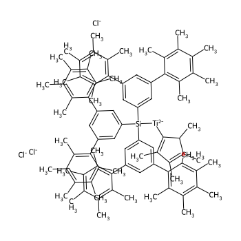 CC1=C(C)C(C)[C]([Ti-2][Si](c2cc(-c3c(C)c(C)c(C)c(C)c3C)cc(-c3c(C)c(C)c(C)c(C)c3C)c2)(c2cc(-c3c(C)c(C)c(C)c(C)c3C)cc(-c3c(C)c(C)c(C)c(C)c3C)c2)c2cc(-c3c(C)c(C)c(C)c(C)c3C)cc(-c3c(C)c(C)c(C)c(C)c3C)c2)=C1C.[Cl-].[Cl-].[Cl-]